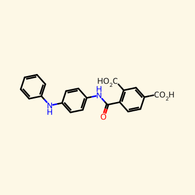 O=C(O)c1ccc(C(=O)Nc2ccc(Nc3ccccc3)cc2)c(C(=O)O)c1